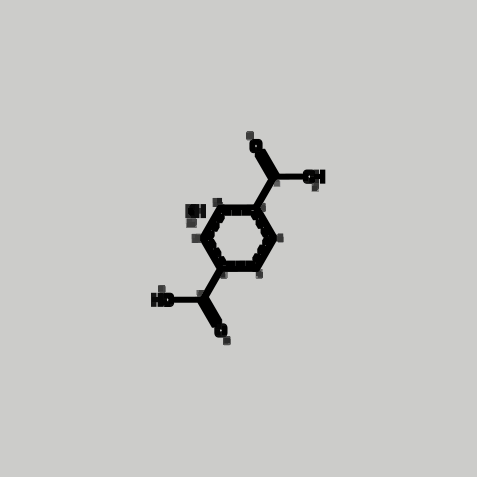 O=C(O)c1ccc(C(=O)O)cc1.[KH]